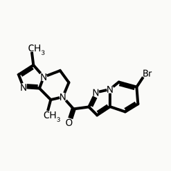 Cc1cnc2n1CCN(C(=O)c1cc3ccc(Br)cn3n1)C2C